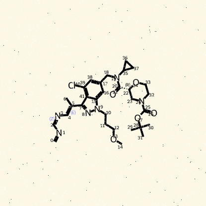 C=N/C=N\C=C(/C)c1nn(CCCOC)c2cc(CN(C(=O)[C@H]3CN(C(=O)OC(C)(C)C)CCO3)C3CC3)cc(Cl)c12